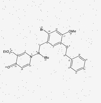 CCOC(=O)c1cn(N(Cc2cc(OCc3ccccc3)c(OC)cc2Br)C(C)(C)C)ccc1=O